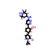 CN(c1ccc(-c2ccc(-c3ccn(C4CC4)c(=O)c3)cc2O)nn1)C1CC(C)(C)NC(C)(C)C1